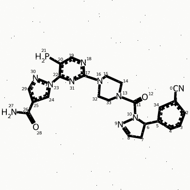 N#Cc1cccc(C2CC=NN2C(=O)N2CCN(c3ncc(P)c(-n4cc(C(N)=O)cn4)n3)CC2)c1